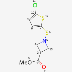 COC(=O)C1CN(Sc2ccc(Cl)s2)C1